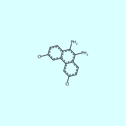 Pc1c(P)c2ccc(Cl)cc2c2cc(Cl)ccc12